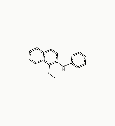 CCc1c(Nc2ccccc2)ccc2ccccc12